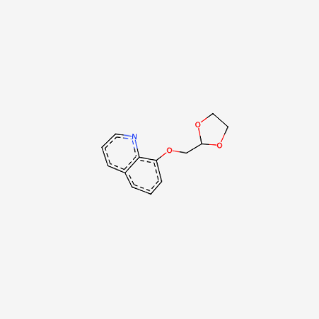 c1cnc2c(OCC3OCCO3)cccc2c1